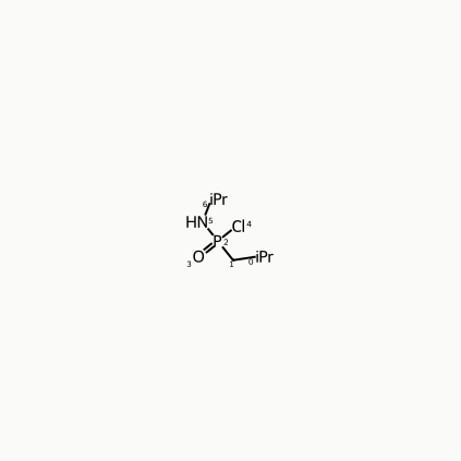 CC(C)CP(=O)(Cl)NC(C)C